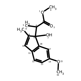 COC(=O)C(C)C1(O)C(C)=Cc2ccc(OC)cc21